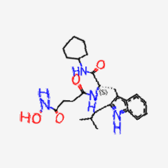 CC(C)Cc1[nH]c2ccccc2c1C[C@H](NC(=O)CCC(=O)NO)C(=O)NC1CCCCC1